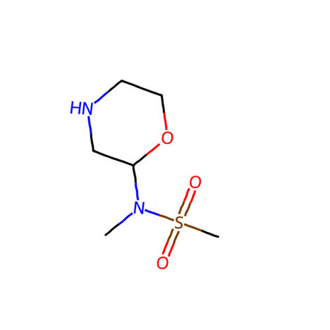 CN(C1CNCCO1)S(C)(=O)=O